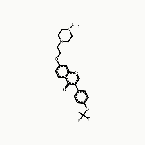 CN1CCN(CCOc2ccc3c(=O)c(-c4ccc(OC(F)(F)F)cc4)coc3c2)CC1